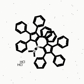 C[Si](C)=[Zr]([C]1=C(c2ccccc2)C(c2ccccc2)=C(c2ccccc2)C1c1ccccc1)[C]1=C(c2ccccc2)C(c2ccccc2)=C(c2ccccc2)C1c1ccccc1.Cl.Cl